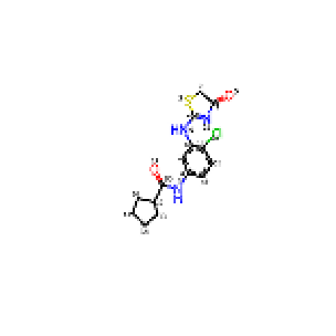 O=C1CSC(Nc2cc(NC(=O)C3CCCC3)ccc2Cl)=N1